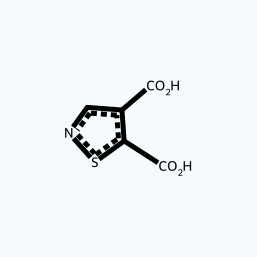 O=C(O)c1cnsc1C(=O)O